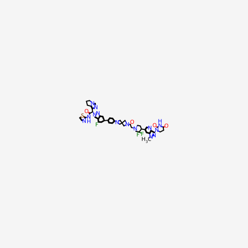 Cn1nc(N2CCC(=O)NC2=O)c2ncc(C3CCN(CC(=O)N4CC5(C4)CN(c4ccc(-c6cc(F)c7cn(C(C(=O)Nc8nccs8)c8ncn9c8CCC9)nc7c6)cc4)C5)CC3(F)F)cc21